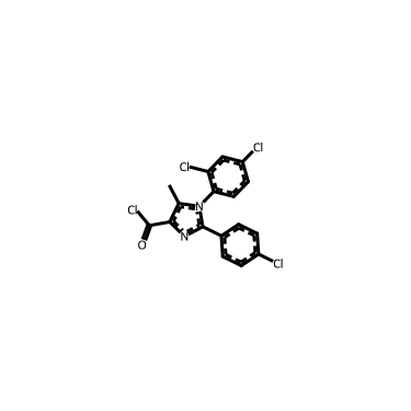 Cc1c(C(=O)Cl)nc(-c2ccc(Cl)cc2)n1-c1ccc(Cl)cc1Cl